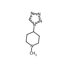 CN1CCC(n2cnnn2)CC1